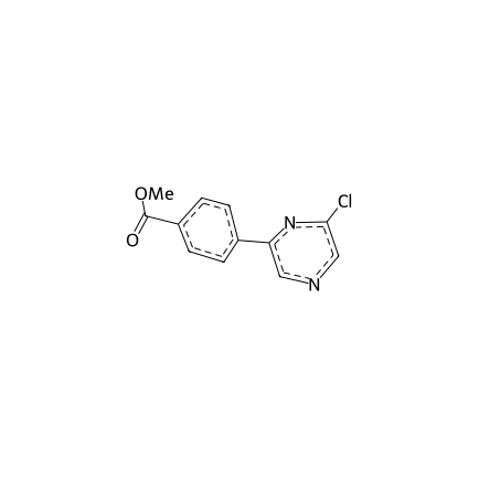 COC(=O)c1ccc(-c2cncc(Cl)n2)cc1